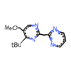 COc1cnc(-c2ncccn2)nc1C(C)(C)C